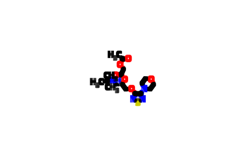 CC(=O)OCC(=O)O[C@@H](CNC(C)(C)C)COc1nsnc1N1CCOCC1